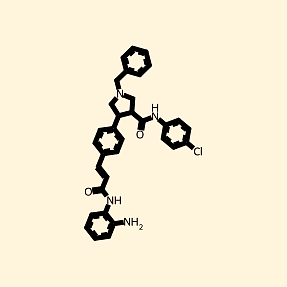 Nc1ccccc1NC(=O)/C=C/c1ccc(C2CN(Cc3ccccc3)CC2C(=O)Nc2ccc(Cl)cc2)cc1